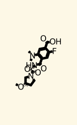 CO[C@H]1CCN(S(=O)(=O)NC(=O)c2cc(F)c(C(=O)O)cc2N(C)C)C1